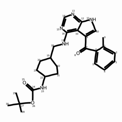 Cc1ccccc1C(=O)c1c[nH]c2ncnc(NCC3CCC(NC(=O)OC(C)(C)C)CC3)c12